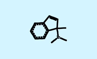 [CH3][Zr]([CH3])[C]1(C)C=Cc2ccccc21